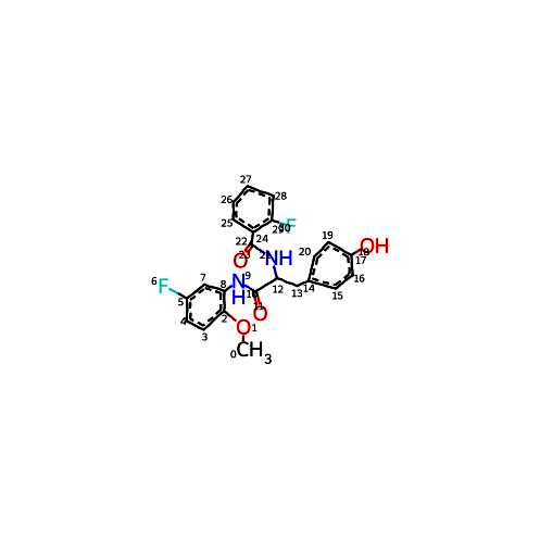 COc1ccc(F)cc1NC(=O)C(Cc1ccc(O)cc1)NC(=O)c1ccccc1F